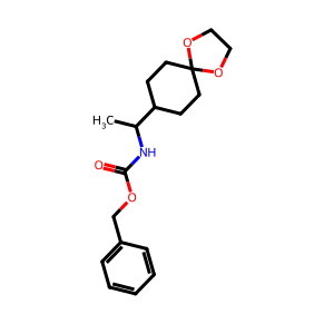 CC(NC(=O)OCc1ccccc1)C1CCC2(CC1)OCCO2